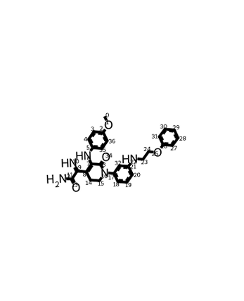 COc1ccc(NC2=C(C(=N)C(N)=O)CCN(c3cccc(NCCOc4ccccc4)c3)C2=O)cc1